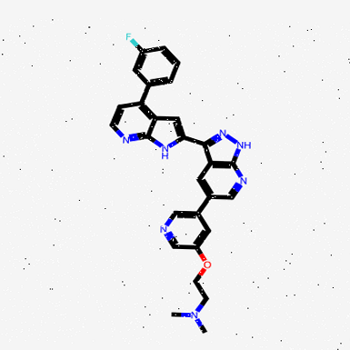 CN(C)CCOc1cncc(-c2cnc3[nH]nc(-c4cc5c(-c6cccc(F)c6)ccnc5[nH]4)c3c2)c1